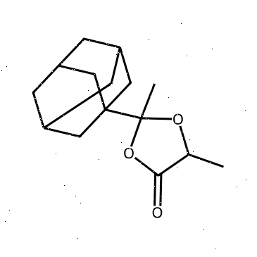 CC1OC(C)(C23CC4CC(CC(C4)C2)C3)OC1=O